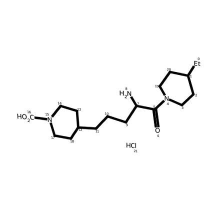 CCC1CCN(C(=O)C(N)CCCC2CCN(C(=O)O)CC2)CC1.Cl